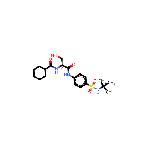 CC(C)(C)NS(=O)(=O)c1ccc(NC(=O)[C@H](CO)NC(=O)C2CCCCC2)cc1